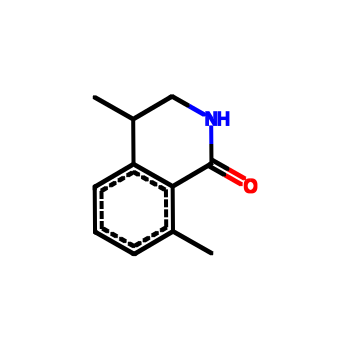 Cc1cccc2c1C(=O)NCC2C